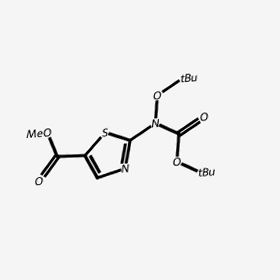 COC(=O)c1cnc(N(OC(C)(C)C)C(=O)OC(C)(C)C)s1